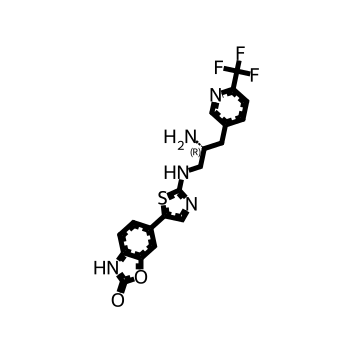 N[C@@H](CNc1ncc(-c2ccc3[nH]c(=O)oc3c2)s1)Cc1ccc(C(F)(F)F)nc1